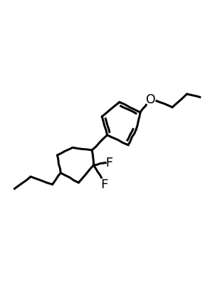 CCCOc1ccc(C2CCC(CCC)CC2(F)F)cc1